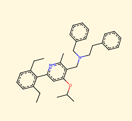 CCc1cccc(CC)c1-c1cc(OC(C)C)c(CN(CCc2ccccc2)Cc2ccccc2)c(C)n1